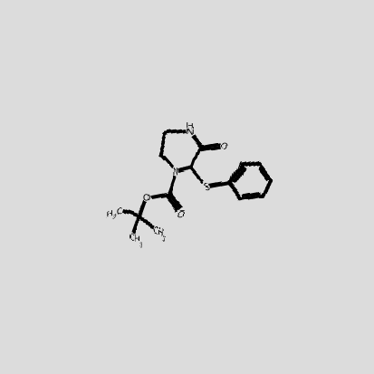 CC(C)(C)OC(=O)N1CCNC(=O)C1Sc1ccccc1